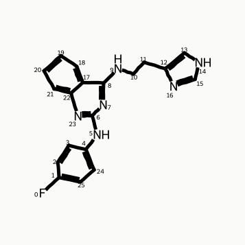 Fc1ccc(Nc2nc(NCCc3c[nH]cn3)c3ccccc3n2)cc1